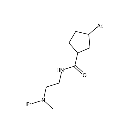 CC(=O)C1CCC(C(=O)NCCN(C)C(C)C)C1